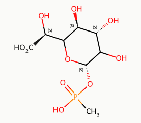 CP(=O)(O)O[C@@H]1OC([C@H](O)C(=O)O)[C@@H](O)[C@H](O)C1O